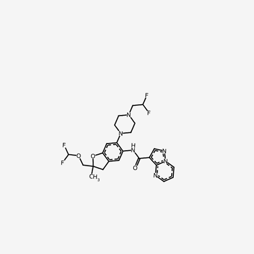 CC1(COC(F)F)Cc2cc(NC(=O)c3cnn4cccnc34)c(N3CCN(CC(F)F)CC3)cc2O1